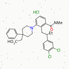 CCC(Cc1c(C(=O)NC)cccc1N1CCC(CC(=O)O)(c2ccccc2)CC1)c1ccc(Cl)c(Cl)c1.Cl